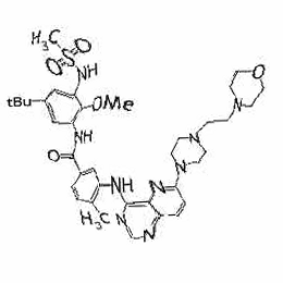 COc1c(NC(=O)c2ccc(C)c(Nc3ncnc4ccc(N5CCN(CCN6CCOCC6)CC5)nc34)c2)cc(C(C)(C)C)cc1NS(C)(=O)=O